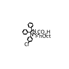 CCCCCCCCC(Sc1nc(-c2ccccc2)c(-c2ccccc2)n1-c1ccc(Cl)cc1)C(=O)O